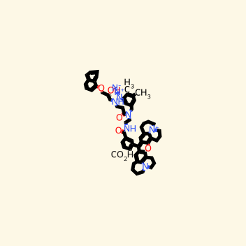 Cc1cc(CN(CCNC(=O)c2ccc(C(=O)O)c(C3=c4cc5c6c(c4Oc4c3cc3c7c4CCCN7CCCC3)CCC[N+]=6CCCC5)c2)C(=O)CCNC[C@H](O)COc2cccc3ccccc23)cc(N=[N+]=[N-])c1C